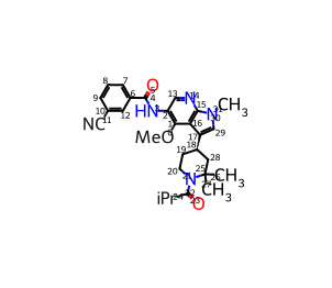 COc1c(NC(=O)c2cccc(C#N)c2)cnc2c1c([C@@H]1CCN(C(=O)C(C)C)C(C)(C)C1)cn2C